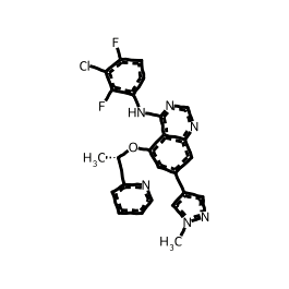 C[C@H](Oc1cc(-c2cnn(C)c2)cc2ncnc(Nc3ccc(F)c(Cl)c3F)c12)c1ccccn1